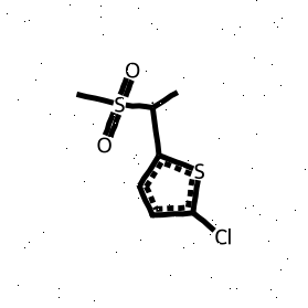 C[C](c1ccc(Cl)s1)S(C)(=O)=O